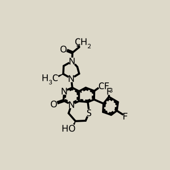 C=CC(=O)N1CCN(c2nc(=O)n3c4c(c(-c5ccc(F)cc5F)c(C(F)(F)F)cc24)SC[C@@H](O)C3)[C@@H](C)C1